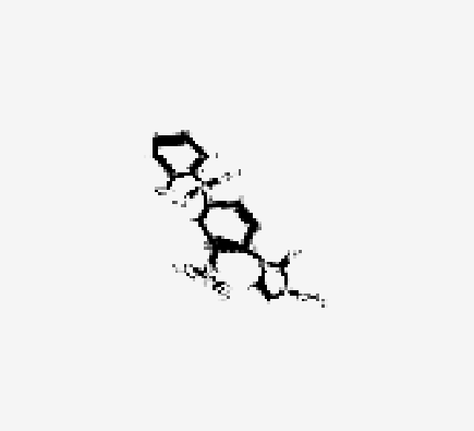 Cn1ccn(-c2ccc(S(=O)(=O)c3ccccc3Cl)cc2[N+](=O)[O-])c1=O